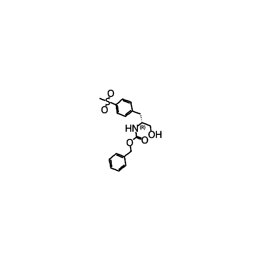 CS(=O)(=O)c1ccc(C[C@H](CO)NC(=O)OCc2ccccc2)cc1